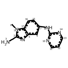 Cn1c(N)nc2cc(Nc3ncccn3)ccc21